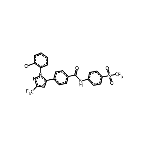 O=C(Nc1ccc(S(=O)(=O)C(F)(F)F)cc1)c1ccc(-c2cc(C(F)(F)F)nn2-c2ccccc2Cl)cc1